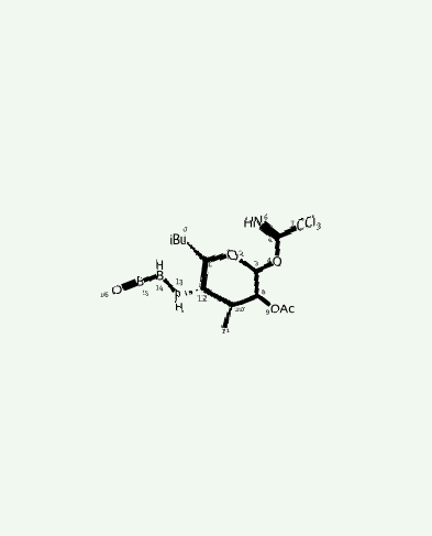 CC[C@H](C)C1OC(OC(=N)C(Cl)(Cl)Cl)C(OC(C)=O)[C@@H](C)[C@@H]1PBB=O